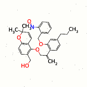 C=C(COc1c(CO)ccc2c1C=CC(C)(C)O2)c1ccc(CCC)cc1OCc1ccccc1N=O